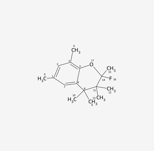 Cc1cc(C)c2c(c1)C(C)(C)C(C)(C)C(C)(F)O2